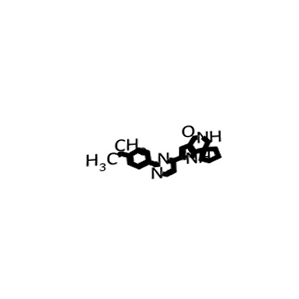 CC(C)c1ccc(-c2nccc(-c3cc4c([nH]3)C3(CCCC3)CNC4=O)n2)cc1